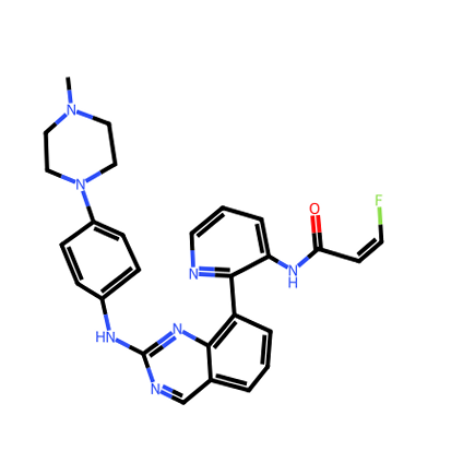 CN1CCN(c2ccc(Nc3ncc4cccc(-c5ncccc5NC(=O)/C=C\F)c4n3)cc2)CC1